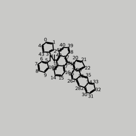 c1ccc(N(c2ccccc2)c2c3ccccc3c(-c3cccc4c3ccc3cc5ccccc5cc34)c3ccccc23)cc1